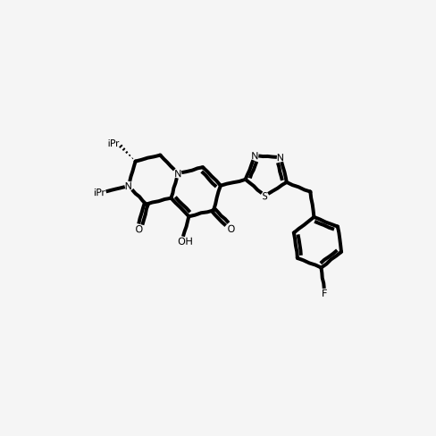 CC(C)[C@@H]1Cn2cc(-c3nnc(Cc4ccc(F)cc4)s3)c(=O)c(O)c2C(=O)N1C(C)C